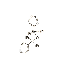 CC(C)[Si](O[Si](c1ccccc1)(C(C)C)C(C)C)(c1ccccc1)C(C)C